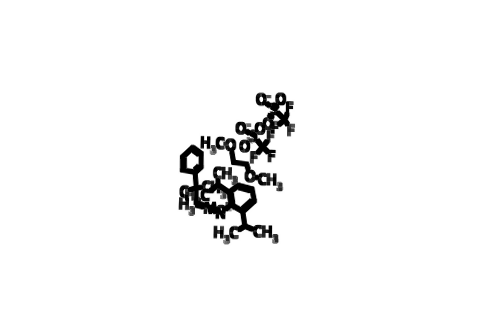 CC(C)c1cccc(C(C)C)c1[N]=[Mo+2]=[CH]C(C)(C)c1ccccc1.COCCOC.O=S(=O)([O-])C(F)(F)F.O=S(=O)([O-])C(F)(F)F